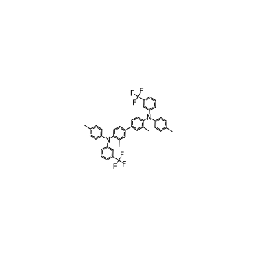 Cc1ccc(N(c2cccc(C(F)(F)F)c2)c2ccc(-c3ccc(N(c4ccc(C)cc4)c4cccc(C(F)(F)F)c4)c(C)c3)cc2C)cc1